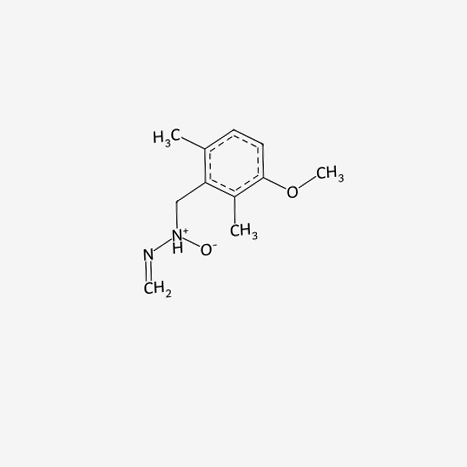 C=N[NH+]([O-])Cc1c(C)ccc(OC)c1C